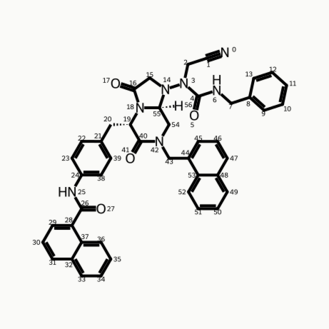 N#CCN(C(=O)NCc1ccccc1)N1CC(=O)N2[C@@H](Cc3ccc(NC(=O)c4cccc5ccccc45)cc3)C(=O)N(Cc3cccc4ccccc34)C[C@@H]21